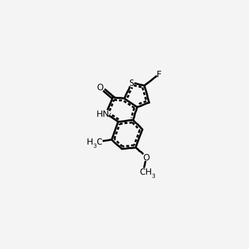 COc1cc(C)c2[nH]c(=O)c3sc(F)cc3c2c1